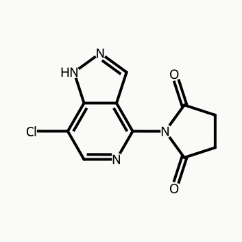 O=C1CCC(=O)N1c1ncc(Cl)c2[nH]ncc12